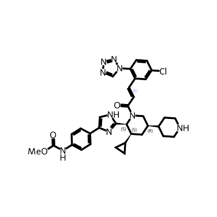 COC(=O)Nc1ccc(-c2c[nH]c([C@@H]3[C@H](C4CC4)C[C@H](C4CCNCC4)CN3C(=O)/C=C/c3cc(Cl)ccc3-n3cnnn3)n2)cc1